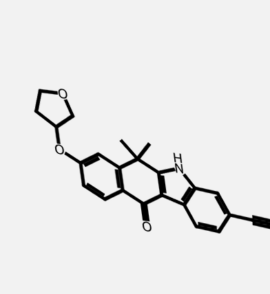 CC1(C)c2cc(OC3CCOC3)ccc2C(=O)c2c1[nH]c1cc(C#N)ccc21